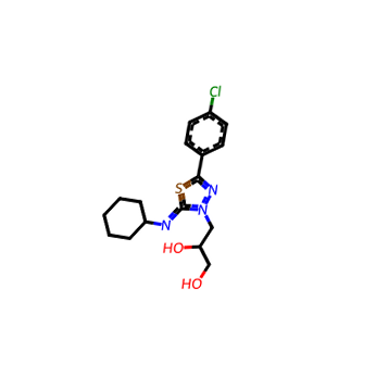 OCC(O)Cn1nc(-c2ccc(Cl)cc2)sc1=NC1CCCCC1